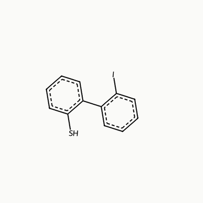 Sc1ccccc1-c1ccccc1I